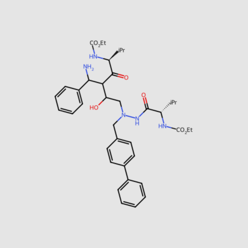 CCOC(=O)N[C@H](C(=O)NN(Cc1ccc(-c2ccccc2)cc1)CC(O)C(C(=O)[C@@H](NC(=O)OCC)C(C)C)C(N)c1ccccc1)C(C)C